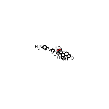 C[C@]12C=CC(=O)C=C1CC[C@@H]1C2[C@@H](O)C[C@@]2(C)C1C[C@H]1O[C@@H](c3ccc(NCc4ccc(N)cc4)nc3)O[C@]12C(=O)CO